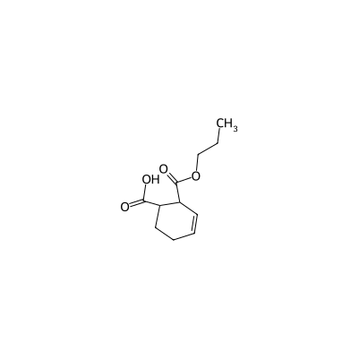 CCCOC(=O)C1C=CCCC1C(=O)O